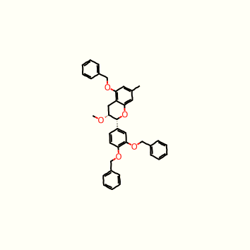 CO[C@@H]1Cc2c(OCc3ccccc3)cc(C)cc2O[C@@H]1c1ccc(OCc2ccccc2)c(OCc2ccccc2)c1